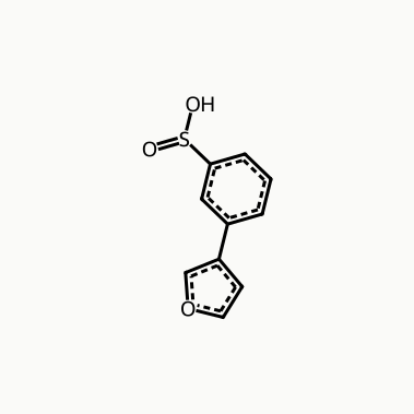 O=S(O)c1cccc(-c2ccoc2)c1